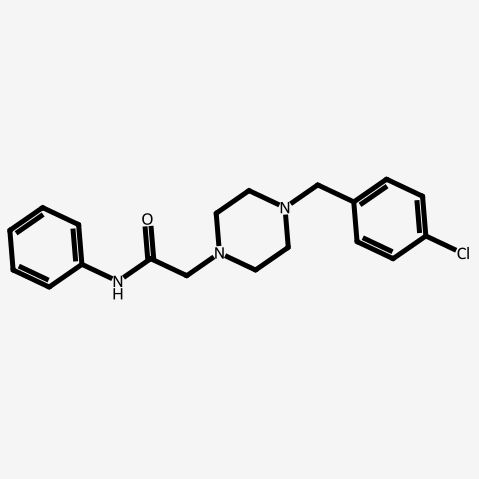 O=C(CN1CCN(Cc2ccc(Cl)cc2)CC1)Nc1ccccc1